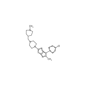 Cc1nc2sc(N3CCN(CC4CCN(C)CC4)CC3)nn2c1-c1ccc(Cl)cc1